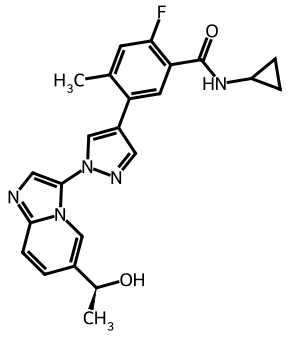 Cc1cc(F)c(C(=O)NC2CC2)cc1-c1cnn(-c2cnc3ccc([C@H](C)O)cn23)c1